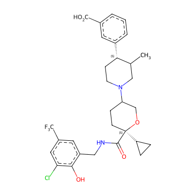 CC1CN(C2CC[C@@](C(=O)NCc3cc(C(F)(F)F)cc(Cl)c3O)(C3CC3)OC2)CC[C@@H]1c1cccc(C(=O)O)c1